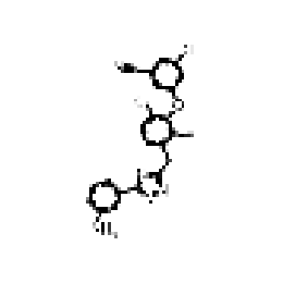 N#Cc1cc(Cl)cc(Oc2c(Cl)ccc(Cc3nnc(-c4cccc(N)c4)o3)c2F)c1